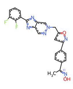 C/C(=N\O)c1ccc(-c2cc(Cn3cc4nc(-c5cccc(F)c5F)nc-4cn3)on2)cc1